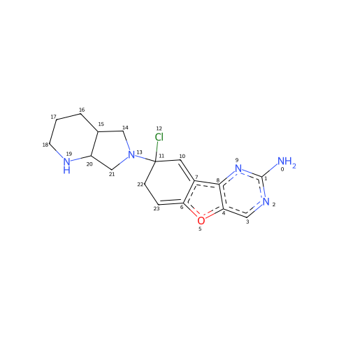 Nc1ncc2oc3c(c2n1)=CC(Cl)(N1CC2CCCNC2C1)CC=3